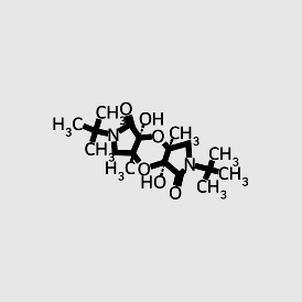 CC(C)(C)N1C[C@]2(C)O[C@]3(O)C(=O)N(C(C)(C)C)C[C@]3(C)O[C@]2(O)C1=O